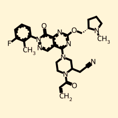 C=CC(=O)N1CCN(c2nc(OC[C@@H]3CCCN3C)nc3c(=O)n(-c4cccc(F)c4C)ncc23)CC1CC#N